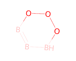 B1=BOOOB1